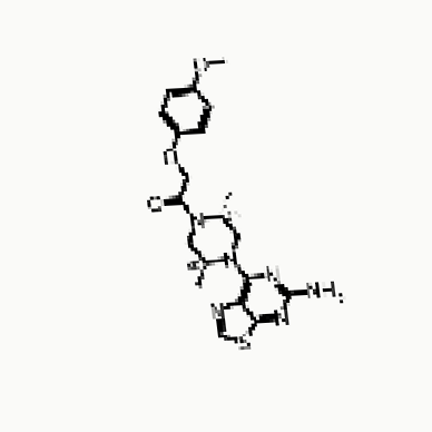 COc1ccc(OCC(=O)N2C[C@H](C)N(c3nc(N)nc4scnc34)C[C@H]2C)cc1